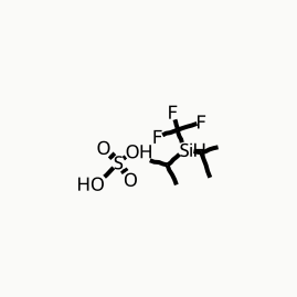 CC(C)[SiH](C(C)C)C(F)(F)F.O=S(=O)(O)O